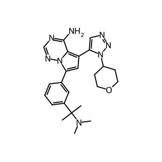 CN(C)C(C)(C)c1cccc(-c2cc(-c3cnnn3C3CCOCC3)c3c(N)ncnn23)c1